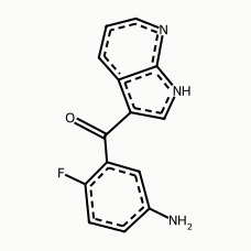 Nc1ccc(F)c(C(=O)c2c[nH]c3ncccc23)c1